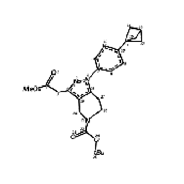 COC(=O)Cc1nn(-c2ccc(C34CC(C3)C4)nc2)c2c1CN(C(=O)OC(C)(C)C)CC2